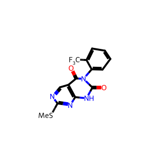 CSc1ncc2c(=O)n(-c3ccccc3C(F)(F)F)c(=O)[nH]c2n1